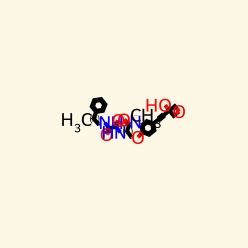 C[C@@H](CNC(=O)C(=O)N[C@H]1COc2ccc(C#CC3(O)COC3)cc2N(C)C1=O)c1ccccc1